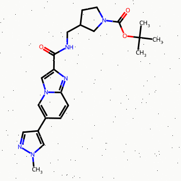 Cn1cc(-c2ccc3nc(C(=O)NCC4CCN(C(=O)OC(C)(C)C)C4)cn3c2)cn1